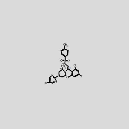 Cc1ccc(S(=O)(=O)N/N=C(/c2c(Cl)cc(F)cc2Cl)N2CCN(c3ncc(F)cn3)C[C@H]2C)cc1